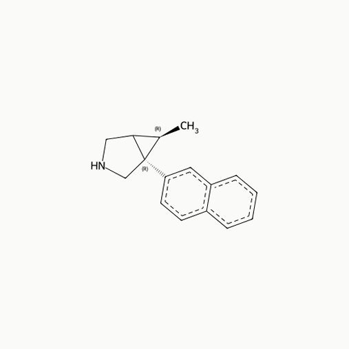 C[C@@H]1C2CNC[C@@]21c1ccc2ccccc2c1